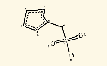 CC(C)S(=O)(=O)[CH]c1cccs1